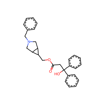 O=C(CC(O)(c1ccccc1)c1ccccc1)OCC1C2CN(Cc3ccccc3)CC12